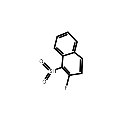 O=[SH](=O)c1c(F)ccc2ccccc12